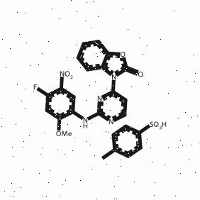 COc1cc(F)c([N+](=O)[O-])cc1Nc1nccc(-n2c(=O)oc3ccccc32)n1.Cc1ccc(S(=O)(=O)O)cc1